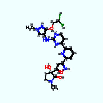 CN1CC[C@@](O)(c2cc(-c3cccc(-c4ccnc(Nc5cn(C)nc5OCC(F)F)n4)n3)no2)C1=O